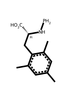 Cc1cc(C)c(C[C@@H](NP)C(=O)O)c(C)c1